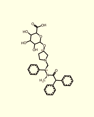 CN(C(=O)C(c1ccccc1)c1ccccc1)[C@H](CN1CC[C@@H](OC2OC(C(=O)O)C(O)C(O)C2O)C1)c1ccccc1